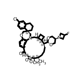 C[C@@H]1[C@@H](C)CCC[C@H]([C@H]2OC[C@H](N3CC(F)C3)CO2)[C@@H]2CC[C@H]2CN2C[C@@]3(CCCc4cc(Cl)ccc43)COc3ccc(cc32)C(=O)NS1(=O)=O